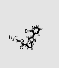 CCOC(=O)C1=CSC2=NC(c3cccnc3Br)CN12